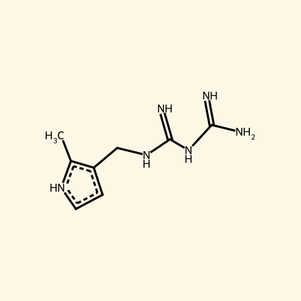 Cc1[nH]ccc1CNC(=N)NC(=N)N